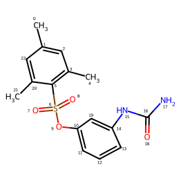 Cc1cc(C)c(S(=O)(=O)Oc2cccc(NC(N)=O)c2)c(C)c1